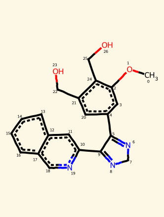 COc1cc(C2=NCN=C2c2cc3ccccc3cn2)cc(CO)c1CO